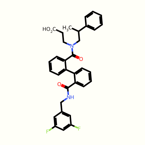 CC(CN(CCC(=O)O)C(=O)c1ccccc1-c1ccccc1C(=O)NCc1cc(F)cc(F)c1)c1ccccc1